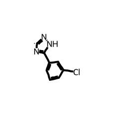 Clc1cccc(-c2n[c]n[nH]2)c1